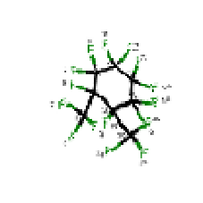 FC(F)(F)C1(F)C(F)(F)C(F)(F)C(F)(F)C(F)(F)C1(F)C(F)(F)F